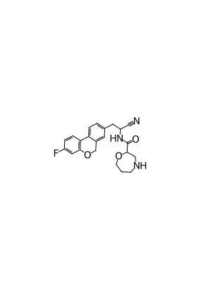 N#CC(Cc1ccc2c(c1)COc1cc(F)ccc1-2)NC(=O)C1CNCCCO1